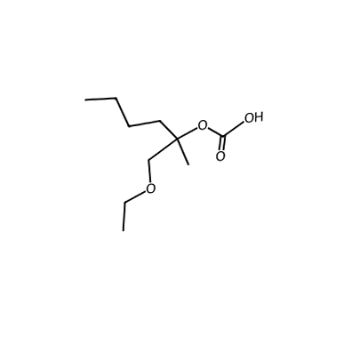 CCCCC(C)(COCC)OC(=O)O